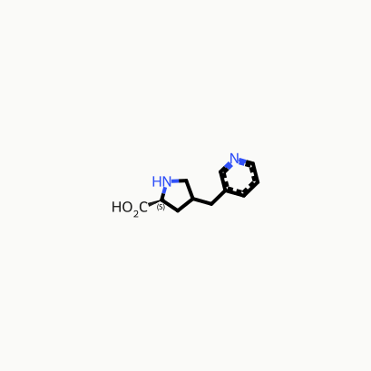 O=C(O)[C@@H]1CC(Cc2cccnc2)CN1